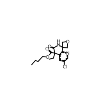 CCCCOC(=O)C1(CC)C(=O)NC2(COC2)c2ncc(Cl)cc21